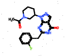 CC(=O)N1CCCC(n2ncc3c(=O)[nH]c(Cc4ccccc4F)nc32)C1